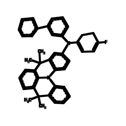 CC1(C)c2ccccc2N2c3ccc(N(C4=CC=C(F)CC4)c4cccc(-c5ccccc5)c4)cc3C(C)(C)c3cccc1c32